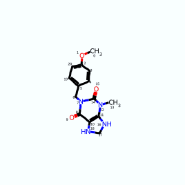 COc1ccc(Cn2c(=O)c3c(n(C)c2=O)NCN3)cc1